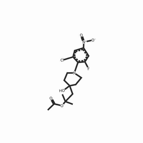 CC(=O)OC(C)(C)CC1(O)CCN(c2c(F)cc([N+](=O)[O-])cc2Cl)CC1